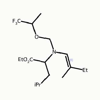 CCOC(=O)C(CC(C)C)N(/C=C(\C)CC)COC(C)C(F)(F)F